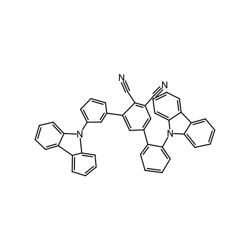 N#Cc1cc(-c2ccccc2-n2c3ccccc3c3ccccc32)cc(-c2cccc(-n3c4ccccc4c4ccccc43)c2)c1C#N